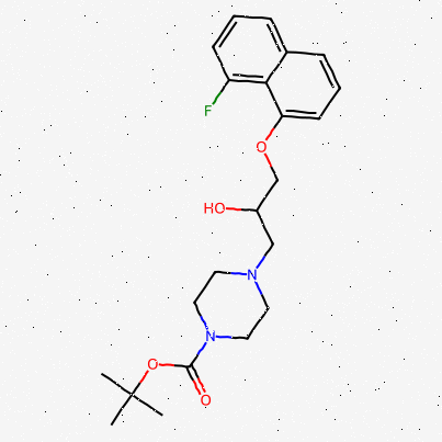 CC(C)(C)OC(=O)N1CCN(CC(O)COc2cccc3cccc(F)c23)CC1